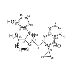 Cc1cccc2cc(CN3N=C(c4cccc(O)c4)C4C(N)=NC=NC43)n(C3CC3)c(=O)c12